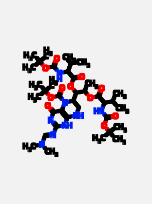 CC(C)C(NC(=O)OC(C)(C)C)C(=O)OC(C)C(OC(=O)C(NC(=O)OC(C)(C)C)C(C)C)C1CNc2[nH]c(N=CN(C)C)nc(=O)c2N1C(=O)OC(C)(C)C